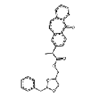 CC(C(=O)OCC1COC(Cc2ccccc2)O1)c1ccc2c(=O)c3ccccc3ccc2c1